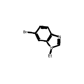 CCn1cnc2ccc(Br)cc21